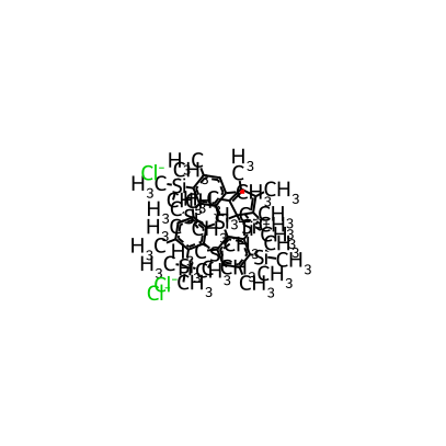 CC1=C(C)[C]([Ti+3])([Si](c2c(C)cc(C)c([Si](C)(C)C)c2[Si](C)(C)C)(c2c(C)cc(C)c([Si](C)(C)C)c2[Si](C)(C)C)c2c(C)cc(C)c([Si](C)(C)C)c2[Si](C)(C)C)C(C)=C1C.[Cl-].[Cl-].[Cl-]